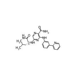 CC(C)C[C@@H](Nc1cnc(C(N)=O)c(Nc2cccc(-c3ccccn3)c2)n1)C(N)=O